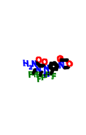 NC(=O)[C@H](C(=O)Nc1ccc(N2CCOCC2=O)cc1C(F)F)N(CC(F)F)CC(F)(F)F